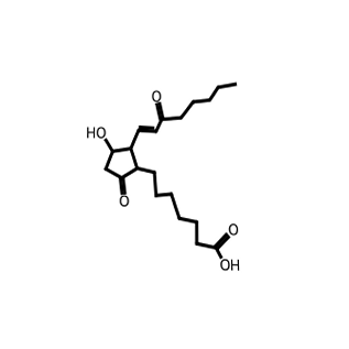 CCCCCC(=O)C=CC1C(O)CC(=O)C1CCCCCCC(=O)O